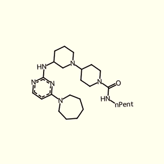 CCCCCNC(=O)N1CCC(N2CCCC(Nc3nccc(N4CCCCCC4)n3)C2)CC1